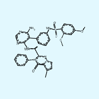 COc1ccc(S(=O)(=O)Nc2cccc(-c3c(N)ncnc3NC(C)c3nn4ccc(C)c4c(=O)n3-c3ccccc3)c2)c(OC)c1